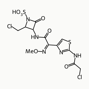 CON=C(C(=O)NC1C(=O)N(S(=O)(=O)O)C1CCl)c1csc(NC(=O)CCl)n1